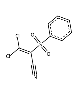 N#CC(=C(Cl)Cl)S(=O)(=O)c1ccccc1